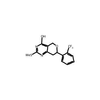 CSc1nc(O)c2c(n1)CC(c1ccccc1C(F)(F)F)OC2